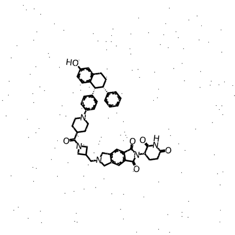 O=C1CCC(N2C(=O)c3cc4c(cc3C2=O)CN(CC2CN(C(=O)C3CCN(c5ccc([C@@H]6c7ccc(O)cc7CC[C@@H]6c6ccccc6)cc5)CC3)C2)C4)C(=O)N1